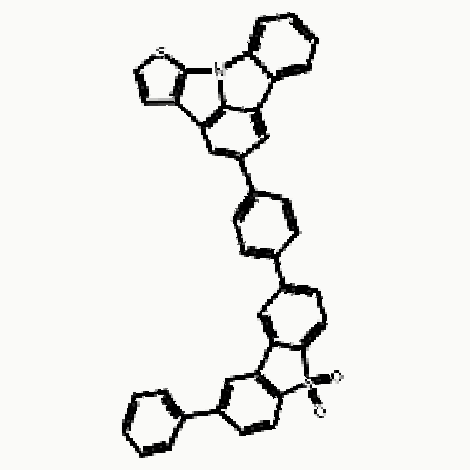 O=S1(=O)c2ccc(-c3ccccc3)cc2-c2cc(-c3ccc(-c4cc5c6ccccc6n6c7sccc7c(c4)c56)cc3)ccc21